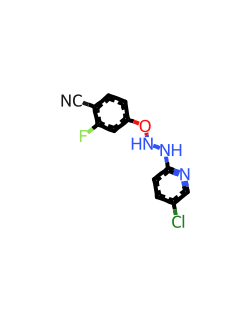 N#Cc1ccc(ONNc2ccc(Cl)cn2)cc1F